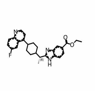 CCOC(=O)c1ccc2[nH]c([C@H](C)C3CCC(c4ccnc5ccc(F)cc45)CC3)nc2c1